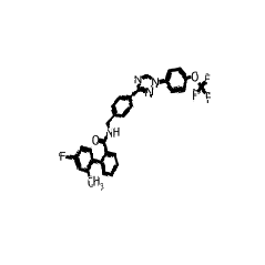 Cc1cc(F)ccc1-c1ccccc1C(=O)NCc1ccc(-c2ncn(-c3ccc(OC(F)(F)F)cc3)n2)cc1